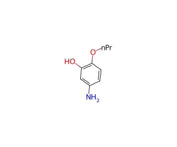 CCCOc1ccc(N)cc1O